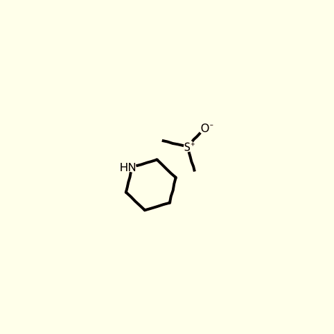 C1CCNCC1.C[S+](C)[O-]